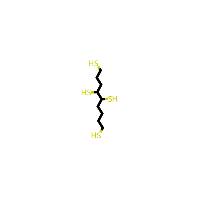 SCCCCC(S)C(S)CCCS